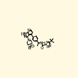 CC(NC(=O)c1nc(C(C)(C)C)no1)c1ccc(-c2ccnc3[nH]nc(N4CCS(=O)(=O)CC4)c23)cc1